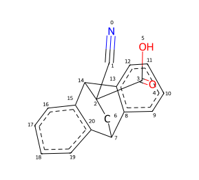 N#CC1(C(=O)O)CC2c3ccccc3C1c1ccccc12